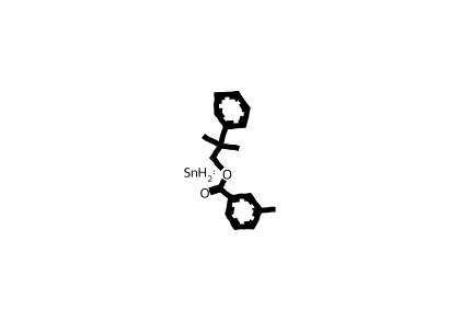 Cc1cccc(C(=O)OCC(C)(C)c2ccccc2)c1.[SnH2]